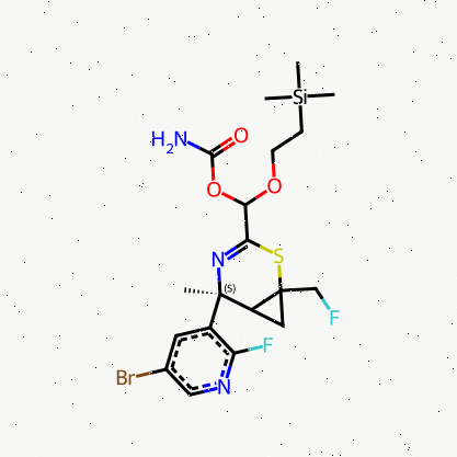 C[C@]1(c2cc(Br)cnc2F)N=C(C(OCC[Si](C)(C)C)OC(N)=O)SC2(CF)CC21